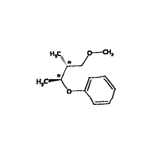 COC[C@@H](C)[C@H](C)Oc1ccccc1